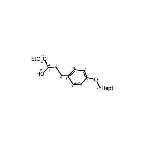 CCCCCCCOc1ccc(CC[C@@H](O)C(=O)OCC)cc1